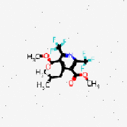 COC(=O)c1c(C(F)(F)F)nc(C(F)(F)F)c(C(=O)OC)c1CC(C)C